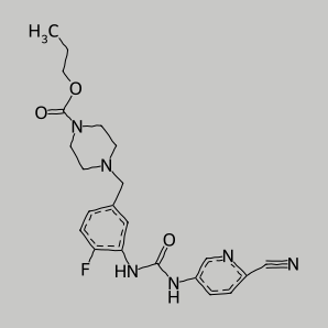 CCCOC(=O)N1CCN(Cc2ccc(F)c(NC(=O)Nc3ccc(C#N)nc3)c2)CC1